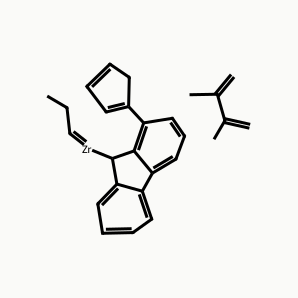 C=C(C)C(=C)C.CC[CH]=[Zr][CH]1c2ccccc2-c2cccc(C3=CC=CC3)c21